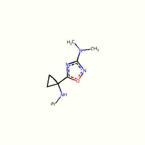 CC(C)NC1(c2nc(N(C)C)no2)CC1